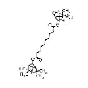 CC1(C)CC(OC(=O)CCCCCCCCC(=O)OC2CC(C)(C)P3OC2C3(C)C)C2OP1C2(C)C